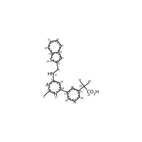 Cc1nc(NCc2cc3ccccc3s2)cc(-c2cccc(C(C)(C)C(=O)O)c2)n1